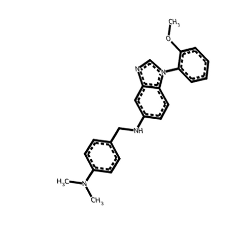 COc1ccccc1-n1cnc2cc(NCc3ccc(N(C)C)cc3)ccc21